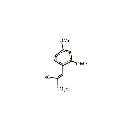 CCOC(=O)C(C#N)=Cc1ccc(OC)cc1OC